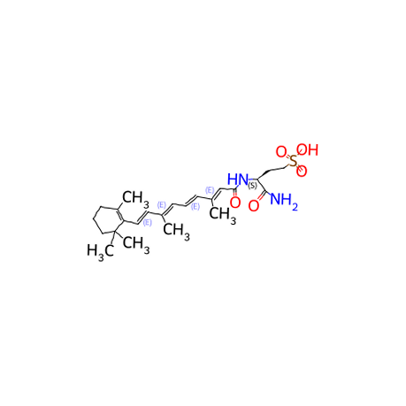 CC1=C(/C=C/C(C)=C/C=C/C(C)=C/C(=O)N[C@@H](CCS(=O)(=O)O)C(N)=O)C(C)(C)CCC1